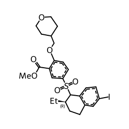 CC[C@@H]1CCc2cc(I)ccc2C1S(=O)(=O)c1ccc(OCC2CCOCC2)c(C(=O)OC)c1